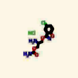 Cl.NC(=O)OCC(N)COc1noc2ccc(Cl)cc12